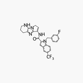 O=C(NC1=CCn2c1nc1c2NCCC1)c1cc2cc(C(F)(F)F)ccc2n1Cc1cccc(F)c1